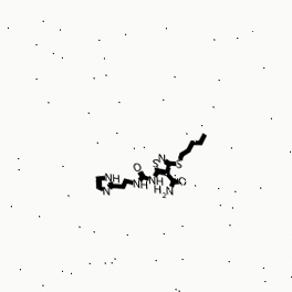 CCCCCSc1nsc(NC(=O)NCCc2ncc[nH]2)c1C(N)=O